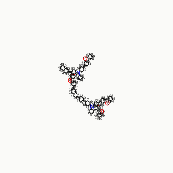 c1ccc(N(c2ccc(-c3ccc(-c4ccc5ccc(-c6ccc7c(c6)oc6cccc(-c8ccccc8N(c8ccc(-c9ccc%10ccccc%10c9)cc8)c8ccc(-c9ccc%10c(c9)oc9ccccc9%10)cc8)c67)cc5c4)cc3)cc2)c2ccc(-c3ccc4c(c3)oc3ccccc34)cc2)c(-c2cccc3oc4ccccc4c23)c1